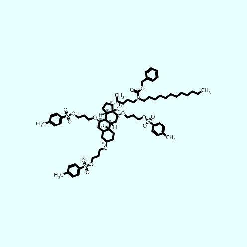 CCCCCCCCCCCCN(CCCC(C)[C@H]1CC[C@H]2C3[C@H](OCCCOS(=O)(=O)c4ccc(C)cc4)CC4C[C@H](OCCCOS(=O)(=O)c5ccc(C)cc5)CCC4(C)[C@H]3C[C@H](OCCCOS(=O)(=O)c3ccc(C)cc3)C12C)C(=O)OCc1ccccc1